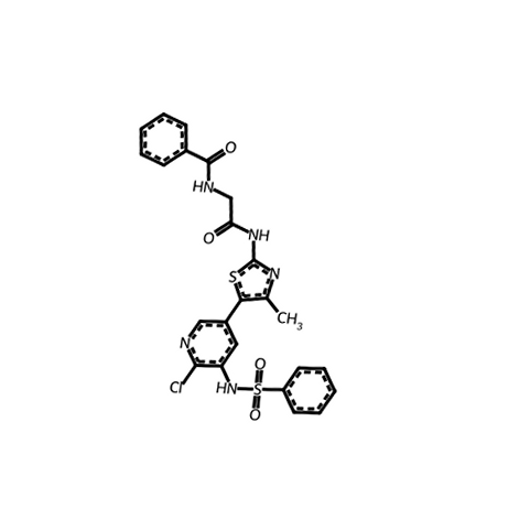 Cc1nc(NC(=O)CNC(=O)c2ccccc2)sc1-c1cnc(Cl)c(NS(=O)(=O)c2ccccc2)c1